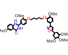 COc1ccc2c(c1)C(=O)NC(c1ccc(OCCCCCOc3cc(-c4cc(-c5cc(OC)c(OC)c(OC)c5)on4)ccc3OC)c(OC)c1)N2